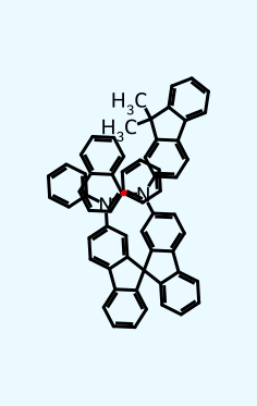 CC1(C)c2ccccc2-c2ccc(N(c3ccc4c(c3)C3(c5ccccc5-c5ccc(N(c6ccccc6)c6ccccc6)cc53)c3ccccc3-4)c3cccc4ccccc34)cc21